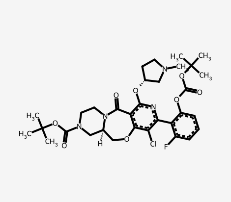 CN1CC[C@@H](Oc2nc(-c3c(F)cccc3OC(=O)OC(C)(C)C)c(Cl)c3c2C(=O)N2CCN(C(=O)OC(C)(C)C)C[C@@H]2CO3)C1